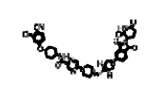 N#Cc1ccc(O[C@H]2CC[C@H](NC(=O)c3cnc(N4CCN(C[C@@H]5[C@H]6CN(c7ccc8c(c7)C(=O)N(C7CCC(=O)NC7=O)C8=O)C[C@@H]56)CC4)cn3)CC2)cc1Cl